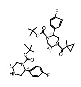 C[C@@H]1CN(C(=O)OC(C)(C)C)[C@@H](c2ccc(F)cc2)CN1.C[C@@H]1CN(C(=O)OC(C)(C)C)[C@@H](c2ccc(F)cc2)CN1C(=O)C1(C)CC1